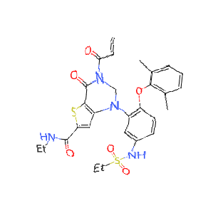 C=CC(=O)N1CN(c2cc(NS(=O)(=O)CC)ccc2Oc2c(C)cccc2C)c2cc(C(=O)NCC)sc2C1=O